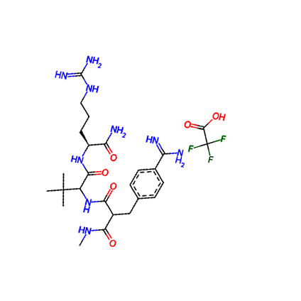 CNC(=O)C(Cc1ccc(C(=N)N)cc1)C(=O)NC(C(=O)N[C@@H](CCCNC(=N)N)C(N)=O)C(C)(C)C.O=C(O)C(F)(F)F